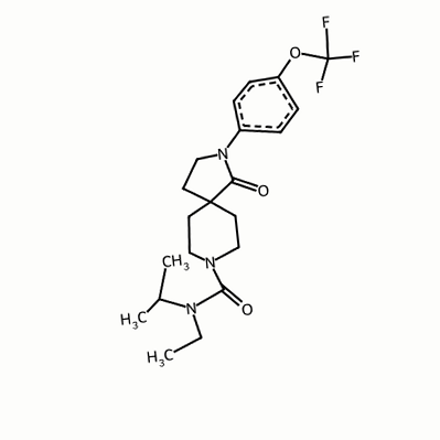 CCN(C(=O)N1CCC2(CC1)CCN(c1ccc(OC(F)(F)F)cc1)C2=O)C(C)C